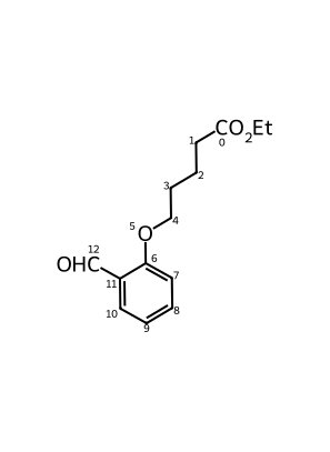 CCOC(=O)CCCCOc1ccccc1C=O